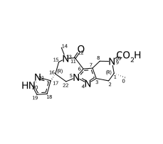 C[C@@H]1Cc2nn3c(c2CN1C(=O)O)C(=O)N(C)C[C@@H](c1cc[nH]n1)C3